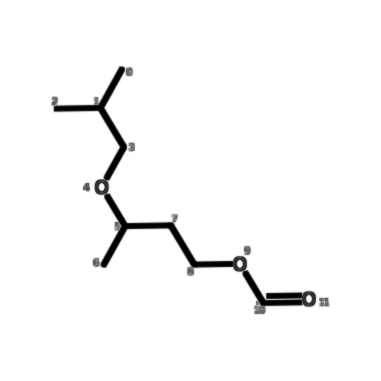 CC(C)COC(C)CCO[C]=O